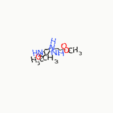 CCOC(=O)CCC1Nc2cc3c(cc2N1)C(C)(C)C(=O)N3